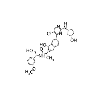 COc1cccc([C@@H](CO)NC(=O)[C@@H](C)N2Cc3ccc(-c4nc(N[C@H]5CC[C@H](O)C5)ncc4Cl)cc3C2O)c1